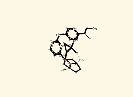 C[C@@H](CO)c1ccc(Nc2nccc(N3C[C@H]4CC[C@@H](C3)N4CC3CC3(F)F)n2)cn1